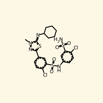 Cn1nc(-c2ccc(Cl)c(S(=O)(=O)Nc3ccc(Cl)c(S(N)(=O)=O)c3)c2)sc1=NC1CCCCC1